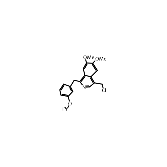 COc1cc2c(CCl)cnc(Cc3cccc(OC(C)C)c3)c2cc1OC